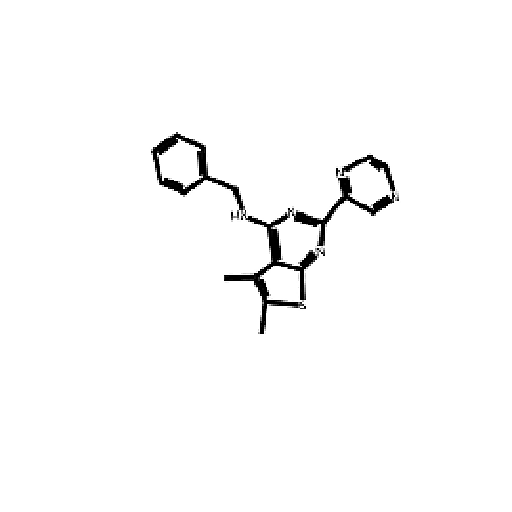 Cc1sc2nc(-c3cnccn3)nc(NCc3ccccc3)c2c1C